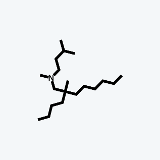 CCCCCCC(C)(CCCC)CN(C)CCC(C)C